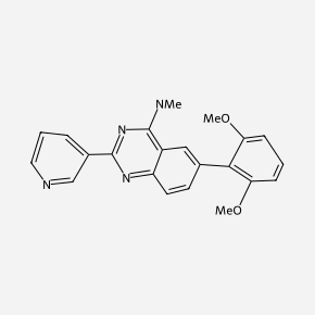 CNc1nc(-c2cccnc2)nc2ccc(-c3c(OC)cccc3OC)cc12